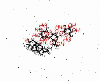 C[C@H](CC[C@@H](O[C@@H]1O[C@H](CO[C@@H]2O[C@H](CO)[C@@H](O)[C@H](O)[C@H]2O)[C@@H](O)[C@H](O)[C@H]1O[C@@H]1O[C@H](CO)[C@@H](O)[C@H](O)[C@H]1O)C(C)(C)O)[C@H]1CC[C@@]2(C)C3CC=C4[C@@H](CCC(=O)C4(C)C)[C@]3(C)[C@H](O)C[C@]12C